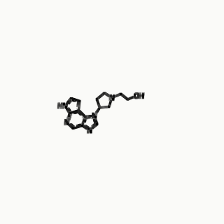 OCCN1CCC(n2cnc3cnc4[nH]ccc4c32)C1